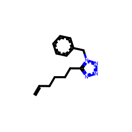 C=CCCCCc1nnnn1Cc1ccccc1